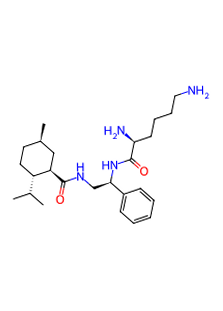 CC(C)[C@@H]1CC[C@@H](C)C[C@H]1C(=O)NC[C@@H](NC(=O)[C@@H](N)CCCCN)c1ccccc1